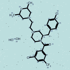 CC1CN(CCN2CCN(C(=O)c3cc(Cl)cc(C(F)(F)F)c3)[C@H](Cc3ccc(Cl)cc3)C2)CC(C)O1.Cl.Cl